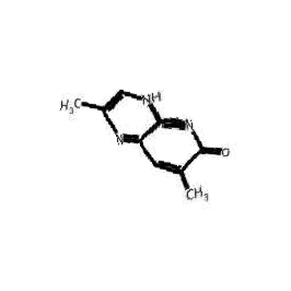 Cc1c[nH]c2nc(=O)c(C)cc-2n1